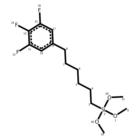 CO[Si](CCCCCCc1cc(F)c(F)c(F)c1)(OC)OC